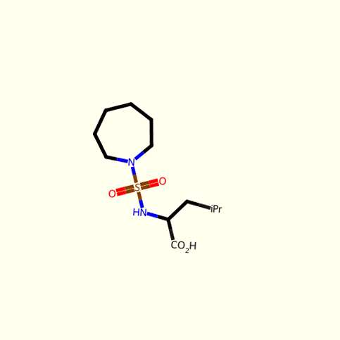 CC(C)CC(NS(=O)(=O)N1CCCCCC1)C(=O)O